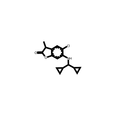 CC1C(=O)Oc2cc(NC(C3CC3)C3CC3)c(Cl)cc21